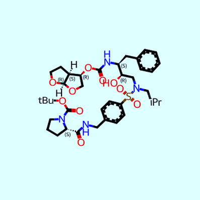 CC(C)CN(C[C@@H](O)[C@H](Cc1ccccc1)NC(=O)O[C@H]1CO[C@H]2OCC[C@H]21)S(=O)(=O)c1ccc(CNC(=O)[C@@H]2CCCN2C(=O)OC(C)(C)C)cc1